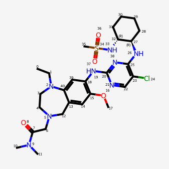 CCN1CCN(CC(=O)N(C)C)Cc2cc(OC)c(Nc3ncc(Cl)c(N[C@@H]4CCCC[C@H]4NS(C)(=O)=O)n3)cc21